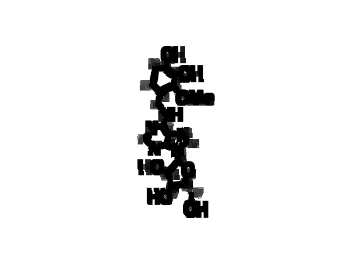 COc1c(CNc2ncnc3c2ncn3C2O[C@H](CO)[C@@H](O)[C@H]2O)ccc(O)c1O